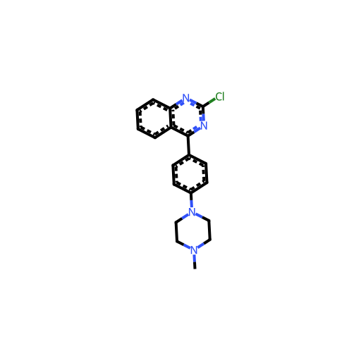 CN1CCN(c2ccc(-c3nc(Cl)nc4ccccc34)cc2)CC1